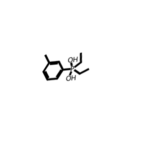 CCP(O)(O)(CC)c1cccc(C)c1